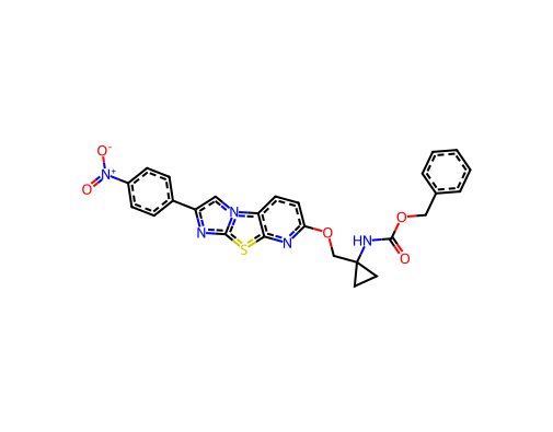 O=C(NC1(COc2ccc3c(n2)sc2nc(-c4ccc([N+](=O)[O-])cc4)cn23)CC1)OCc1ccccc1